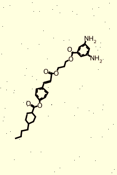 CCCCC1CCC(C(=O)Oc2ccc(C=CC(=O)OCCCOC(=O)c3cc(N)cc(N)c3)cc2)CC1